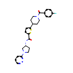 O=C(N[C@H]1CCN(c2cccnn2)C1)c1ccc(C2CCN(C(=O)c3ccc(F)cc3)CC2)s1